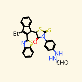 CCC1=C(c2nc3ccccc3s2)C(C2SC(=S)N(c3ccc(NNC=O)cc3)C2=O)c2ccccc21